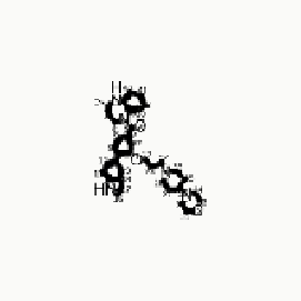 C[C@H]1CCN(C(=O)c2ccc(-c3ccc4[nH]ccc4c3)c(OCCCN3CCC(N4CCOCC4)CC3)c2)c2ccccc2N1